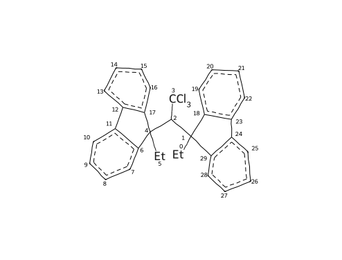 CCC1(C(C(Cl)(Cl)Cl)C2(CC)c3ccccc3-c3ccccc32)c2ccccc2-c2ccccc21